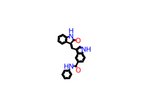 O=C1Nc2ccccc2C1=Cc1c[nH]c2ccc(C(=O)Nc3ccccc3)cc12